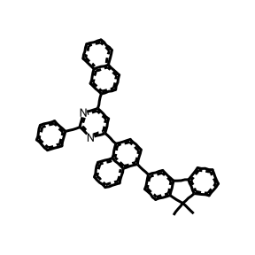 CC1(C)c2ccccc2-c2cc(-c3ccc(-c4cc(-c5ccc6ccccc6c5)nc(-c5ccccc5)n4)c4ccccc34)ccc21